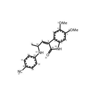 COc1cc2c(cc1OC)C(=CC(C)Nc1ccc(C#N)cc1)C(=O)N2